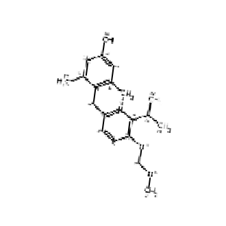 COCOc1ccc(Cc2c(C)cc(O)cc2C)nc1C(C)C